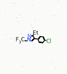 CCc1nn(CC(F)(F)F)cc1-c1ccc(Cl)cc1